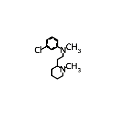 CN(CCC1CCCCN1C)c1cccc(Cl)c1